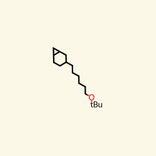 CC(C)(C)OCCCCCCC1CCC2CC2C1